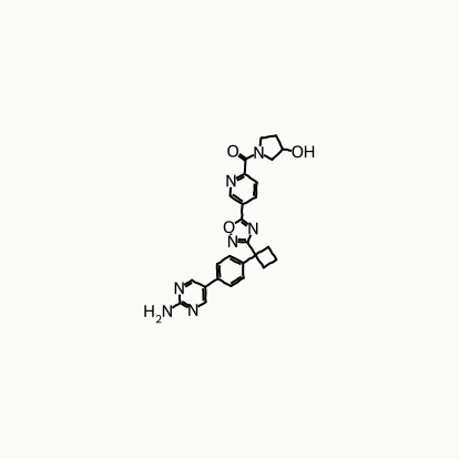 Nc1ncc(-c2ccc(C3(c4noc(-c5ccc(C(=O)N6CCC(O)C6)nc5)n4)CCC3)cc2)cn1